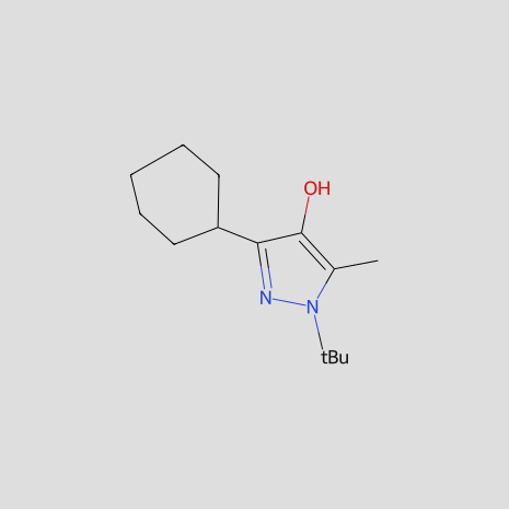 Cc1c(O)c(C2CCCCC2)nn1C(C)(C)C